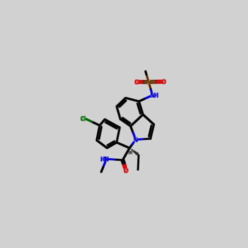 CC[C@](C(=O)NC)(c1ccc(Cl)cc1)n1ccc2c(NS(C)(=O)=O)cccc21